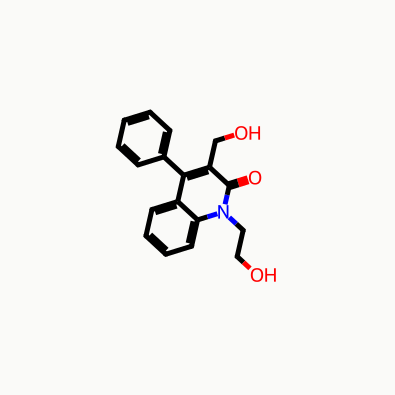 O=c1c(CO)c(-c2ccccc2)c2ccccc2n1CCO